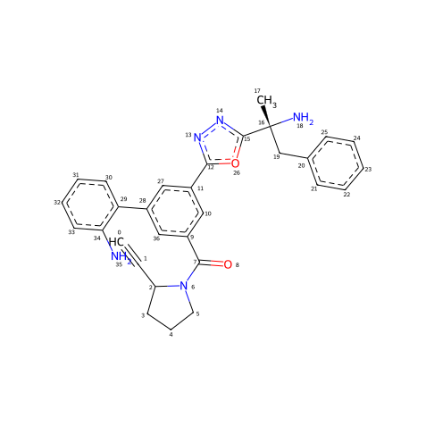 C#CC1CCCN1C(=O)c1cc(-c2nnc([C@](C)(N)Cc3ccccc3)o2)cc(-c2ccccc2N)c1